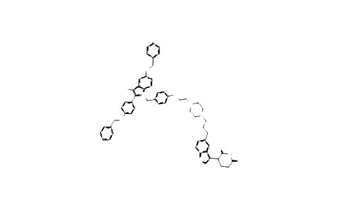 Cc1c(-c2ccc(OCc3ccccc3)cc2)n(Cc2ccc(OCCN3CCN(CCCc4ccc5occ(C6CCC(=O)NC6=O)c5c4)CC3)cc2)c2ccc(OCc3ccccc3)cc12